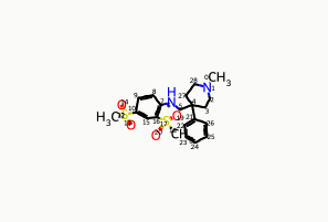 CN1CCC(CNc2ccc(S(C)(=O)=O)cc2S(C)(=O)=O)(c2ccccc2)CC1